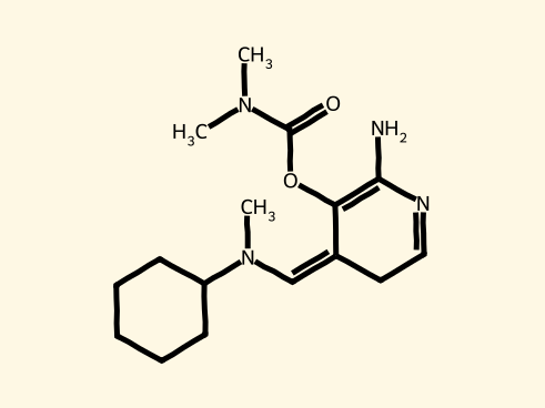 CN(C)C(=O)OC1=C(N)N=CCC1=CN(C)C1CCCCC1